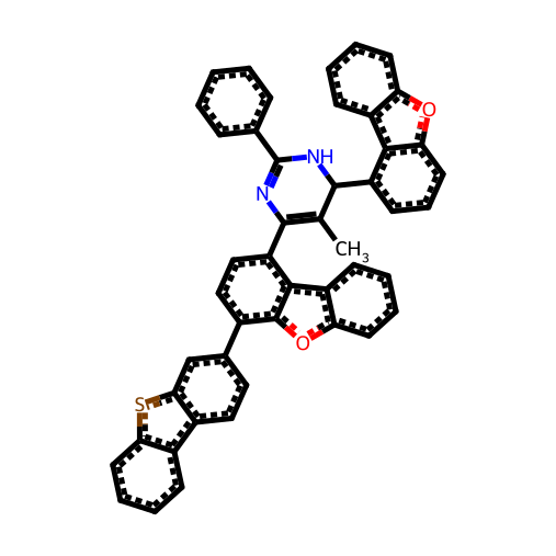 CC1=C(c2ccc(-c3ccc4c(c3)sc3ccccc34)c3oc4ccccc4c23)N=C(c2ccccc2)NC1c1cccc2oc3ccccc3c12